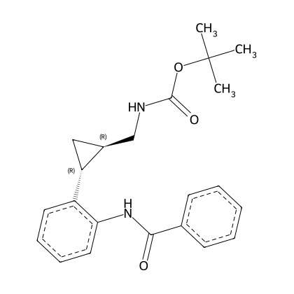 CC(C)(C)OC(=O)NC[C@@H]1C[C@H]1c1ccccc1NC(=O)c1ccccc1